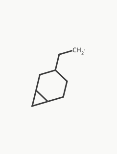 [CH2]CC1CCC2CC2C1